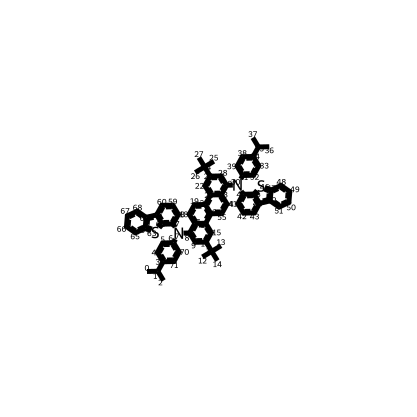 CC(C)c1ccc(N(c2cc(C(C)(C)C)cc3c2ccc2c4cc(C(C)(C)C)cc(N(c5ccc(C(C)C)cc5)c5cccc6c5sc5ccccc56)c4ccc32)c2cccc3c2sc2ccccc23)cc1